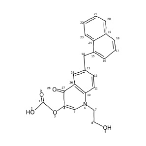 O=C(O)Oc1cn(CCO)c2ccc(Cc3cccc4ccccc34)cc2c1=O